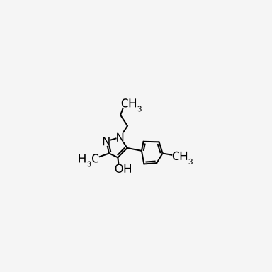 CCCn1nc(C)c(O)c1-c1ccc(C)cc1